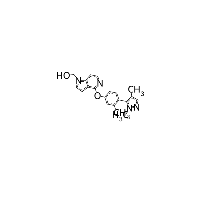 Cc1cc(Oc2nccc3c2ccn3CO)ccc1-c1c(C)cnn1C